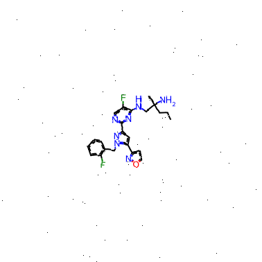 CCCC(C)(N)CNc1nc(-c2cc(-c3ccon3)n(Cc3ccccc3F)n2)ncc1F